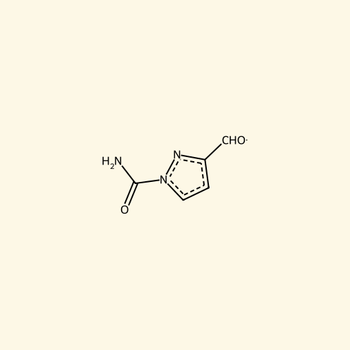 NC(=O)n1ccc([C]=O)n1